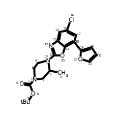 CC1CN(C(=O)OC(C)(C)C)CCN1c1nc2cc(Cl)cc(-c3ccco3)c2o1